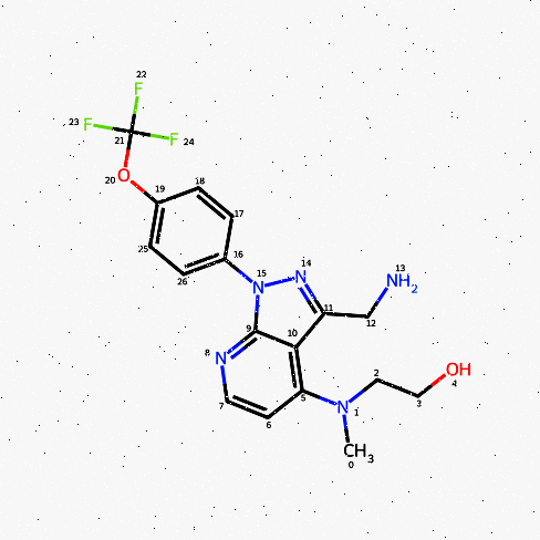 CN(CCO)c1ccnc2c1c(CN)nn2-c1ccc(OC(F)(F)F)cc1